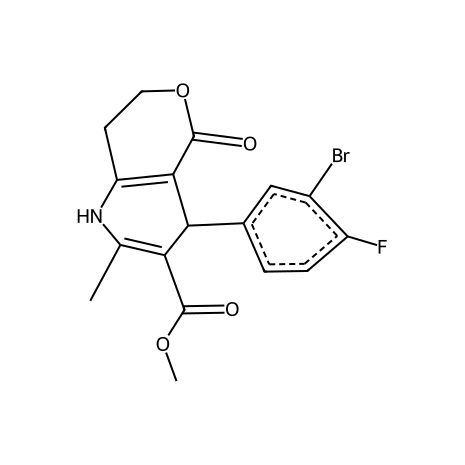 COC(=O)C1=C(C)NC2=C(C(=O)OCC2)C1c1ccc(F)c(Br)c1